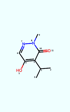 CC(C)c1c(O)cnn(C)c1=O